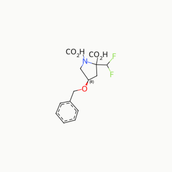 O=C(O)N1C[C@H](OCc2ccccc2)CC1(C(=O)O)C(F)F